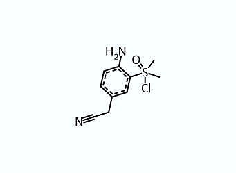 CS(C)(=O)(Cl)c1cc(CC#N)ccc1N